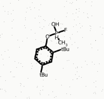 CC(C)(C)c1ccc(O[PH](C)(O)F)c(C(C)(C)C)c1